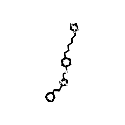 C(=Cc1nc(COc2ccc(CCCCCCn3cncn3)cc2)co1)c1ccccc1